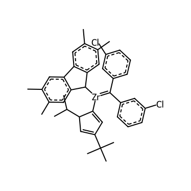 Cc1cc2c(cc1C)[CH]([Zr]([C]1=CC(C(C)(C)C)=CC1C(C)C)=[C](c1cccc(Cl)c1)c1cccc(Cl)c1)c1cc(C)c(C)cc1-2